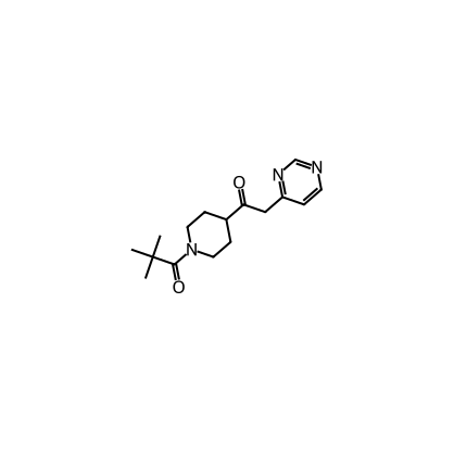 CC(C)(C)C(=O)N1CCC(C(=O)Cc2ccncn2)CC1